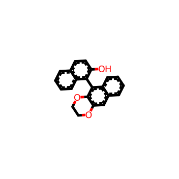 Oc1ccc2ccccc2c1-c1c2c(cc3ccccc13)OCCO2